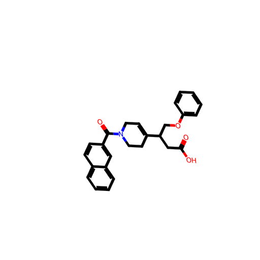 O=C(O)CC(COc1ccccc1)C1=CCN(C(=O)c2ccc3ccccc3c2)CC1